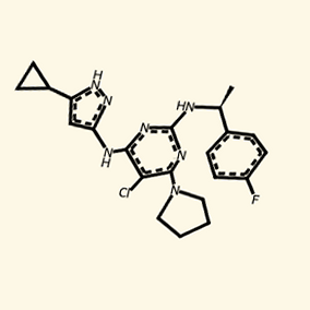 C[C@H](Nc1nc(Nc2cc(C3CC3)[nH]n2)c(Cl)c(N2CCCC2)n1)c1ccc(F)cc1